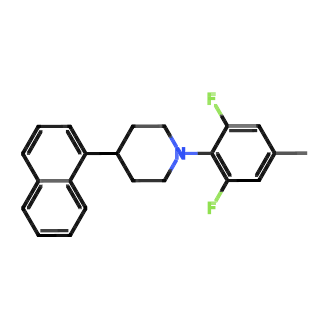 Cc1cc(F)c(N2CCC(c3cccc4ccccc34)CC2)c(F)c1